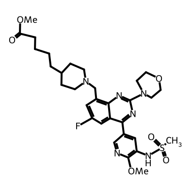 COC(=O)CCCCC1CCN(Cc2cc(F)cc3c(-c4cnc(OC)c(NS(C)(=O)=O)c4)nc(N4CCOCC4)nc23)CC1